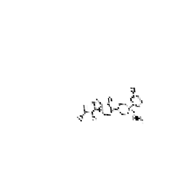 NC[C@]1(c2cccc(Cl)c2)CC[C@H](N2CCn3c(C(=O)NC4CC4)nnc3C2=O)CC1